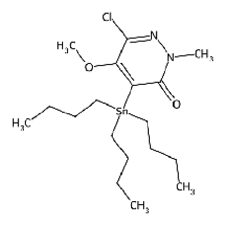 CCC[CH2][Sn]([CH2]CCC)([CH2]CCC)[c]1c(OC)c(Cl)nn(C)c1=O